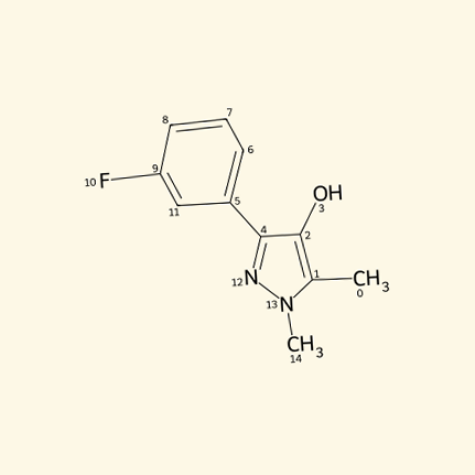 Cc1c(O)c(-c2cccc(F)c2)nn1C